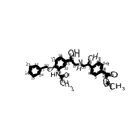 COC(=O)c1ccc(C(C)CNCC(O)c2ccc(OCc3ccccc3)c(NC(C)=O)c2)cc1